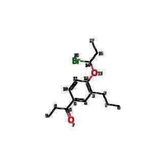 CCCc1cc(C(=O)CC)ccc1OC(Br)CC